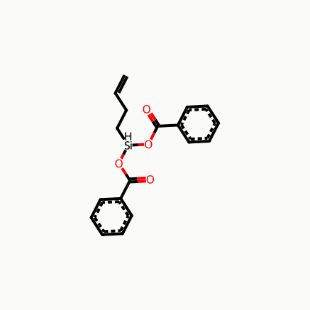 C=CCC[SiH](OC(=O)c1ccccc1)OC(=O)c1ccccc1